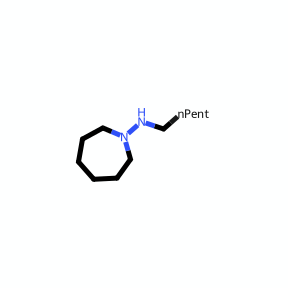 CCCCCCNN1CCCCCC1